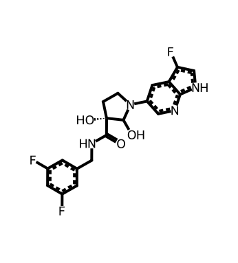 O=C(NCc1cc(F)cc(F)c1)[C@@]1(O)CCN(c2cnc3[nH]cc(F)c3c2)C1O